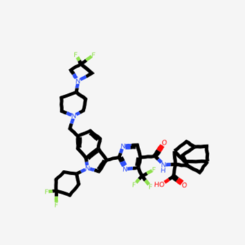 O=C(NC1(C(=O)O)C2CC3CC(C2)CC1C3)c1cnc(-c2cn(C3CCC(F)(F)CC3)c3cc(CN4CCC(N5CC(F)(F)C5)CC4)ccc23)nc1C(F)(F)F